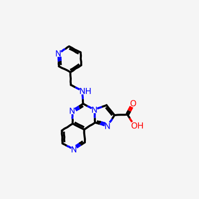 O=C(O)c1cn2c(NCc3cccnc3)nc3ccncc3c2n1